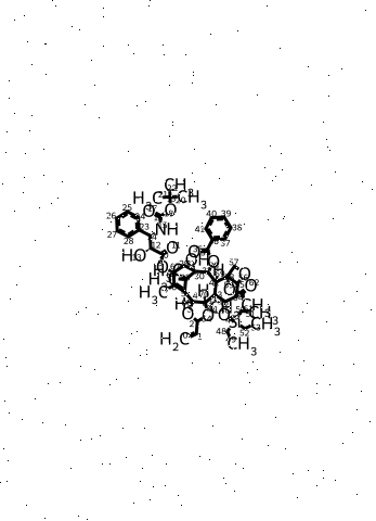 C=CC1O[C@@H]2C3=C(C)[C@@H](OC(=O)[C@H](O)[C@@H](NC(=O)OC(C)(C)C)c4ccccc4)C[C@@](O)([C@@H](OC(=O)c4ccccc4)[C@H]4[C@@](C)([C@@H](O[Si](CC)(CC)CC)CC5OC[C@]54OC(C)=O)[C@@H]2O1)C3(C)C